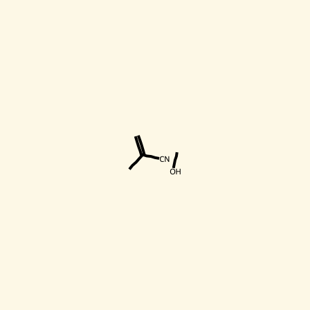 C=C(C)C#N.CO